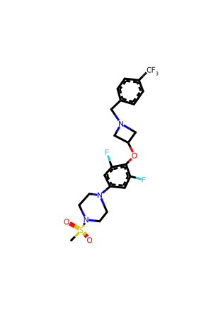 CS(=O)(=O)N1CCN(c2cc(F)c(OC3CN(Cc4ccc(C(F)(F)F)cc4)C3)c(F)c2)CC1